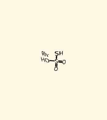 O=S(=O)(O)S.[Rh]